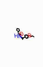 CCCOc1ccc(C2CC2NC(=O)CC2CCCC2)cc1